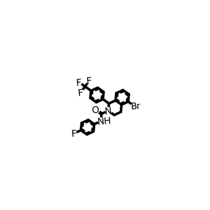 O=C(Nc1ccc(F)cc1)N1CCc2c(Br)cccc2C1c1ccc(C(F)(F)F)cc1